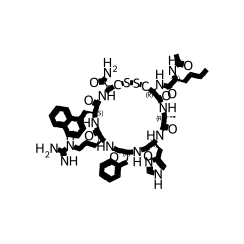 CCCC[C@H](NC(C)=O)C(=O)N[C@H]1CSSC[C@@H](C(N)=O)NC(=O)[C@H](Cc2cccc3ccccc23)NC(=O)[C@H](CCCNC(=N)N)NC(=O)[C@@H](Cc2ccccc2)NC(=O)[C@H](Cc2c[nH]cn2)NC(=O)[C@@H](C)NC1=O